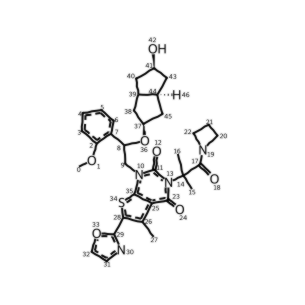 COc1ccccc1C(Cn1c(=O)n(C(C)(C)C(=O)N2CCC2)c(=O)c2c(C)c(-c3ncco3)sc21)O[C@H]1CC2C[C@@H](O)C[C@H]2C1